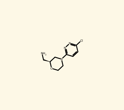 NC[C@H]1CN(c2ccc(Cl)nn2)CCO1